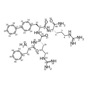 N=C(N)NCCC[C@H](NC(=O)[C@H](Cc1ccc(-c2ccccc2)cc1)NC(=O)[C@H](CCCNC(=N)N)NC(=O)[C@@H](N)Cc1ccccc1)C(N)=O